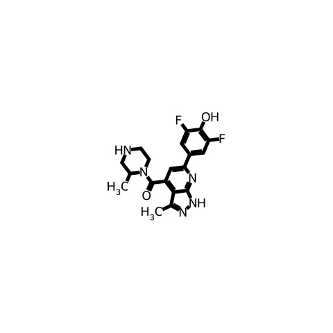 Cc1n[nH]c2nc(-c3cc(F)c(O)c(F)c3)cc(C(=O)N3CCNCC3C)c12